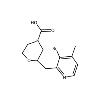 Cc1ccnc(CC2CN(C(=O)O)CCO2)c1Br